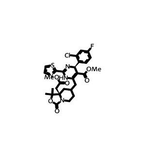 COC(=O)C[C@@]12CC(CC3=C(C(=O)OC)[C@H](c4ccc(F)cc4Cl)N=C(c4nccs4)N3)CCN1C(=O)OC2(C)C